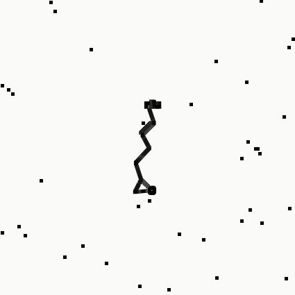 CCCCC=CCCC1CO1